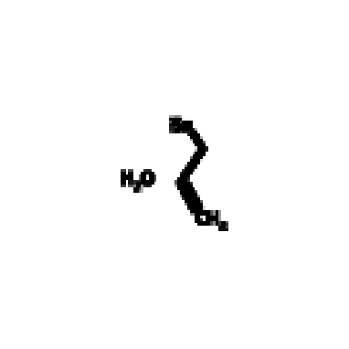 C=C[CH2][Sn].O